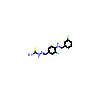 NC(=S)NN=Cc1ccc(NCc2cccc(Cl)c2)c(F)c1